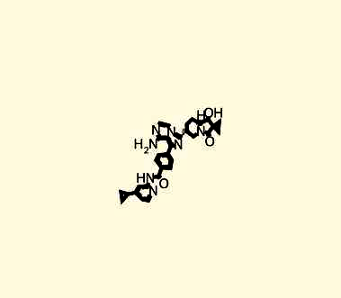 Nc1nccn2c([C@@H]3CC[C@H]4[C@@H](O)C5(CC5)C(=O)N4C3)nc(-c3ccc(C(=O)Nc4cc(C5CC5)ccn4)cc3)c12